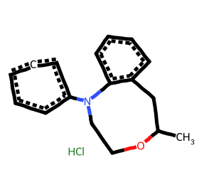 CC1Cc2ccccc2N(c2ccccc2)CCO1.Cl